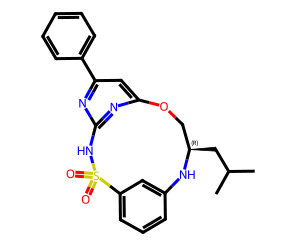 CC(C)C[C@@H]1COc2cc(-c3ccccc3)nc(n2)NS(=O)(=O)c2cccc(c2)N1